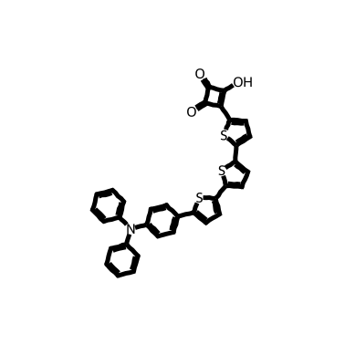 O=c1c(O)c(-c2ccc(-c3ccc(-c4ccc(-c5ccc(N(c6ccccc6)c6ccccc6)cc5)s4)s3)s2)c1=O